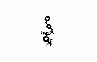 CC(Cc1ccc(Cc2ccccc2)cc1)NCC(O)c1cccc(C(F)(F)F)c1